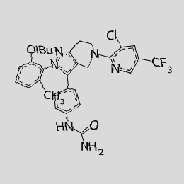 Cc1cccc(OCC(C)C)c1-n1nc2c(c1-c1ccc(NC(N)=O)cc1)CN(c1ncc(C(F)(F)F)cc1Cl)CC2